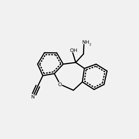 N#Cc1cccc2c1OCc1ccccc1C2(O)CN